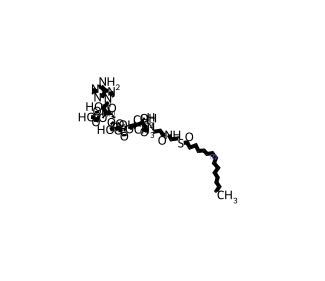 CCCCCCCC/C=C\CCCCCC(=O)SCCNC(=O)CCNC(=O)[C@H](O)C(C)(C)COP(=O)(O)OP(=O)(O)OC[C@H]1O[C@@H](n2cnc3c(N)ncnc32)[C@H](O)[C@@H]1OP(=O)(O)O